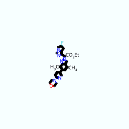 CCOC(=O)C(c1ncn2c1CC(F)C2)n1cc2c(C)cc(-c3ccc(N4CCOCC4)nc3)c(C)c2n1